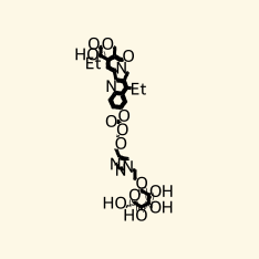 CCc1c2c(nc3ccc(OC(=O)OCOCc4cn(CCO[C@H]5O[C@@H](CO)[C@H](O)[C@@H](O)[C@@H]5O)nn4)cc13)-c1cc3c(c(=O)n1C2)COC(=O)[C@]3(O)CC